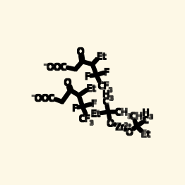 CCC(C(=O)CC(=O)[O-])C(F)(F)C(F)(F)F.CCC(C(=O)CC(=O)[O-])C(F)(F)C(F)(F)F.CCC(C)(C)[O][Zr+2][O]C(C)(C)CC